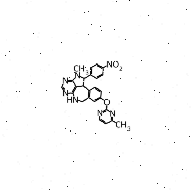 Cc1ccnc(Oc2ccc3c(c2)CNc2ncnc4c2C3C(c2ccc([N+](=O)[O-])cc2)N4C)n1